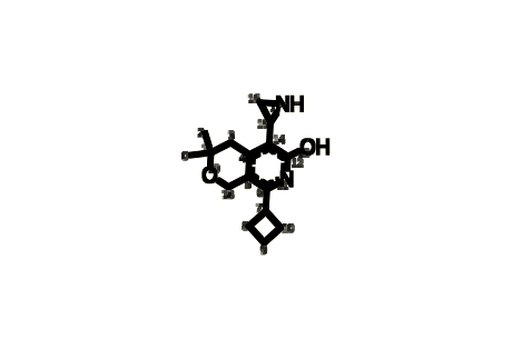 CC1(C)Cc2c(c(C3CCC3)nc(O)c2C2CN2)CO1